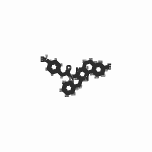 O=C(Cc1ccc(Br)cc1)Nc1nc2c(nc1Cc1ccccc1)-c1ccc(F)cc1CC2